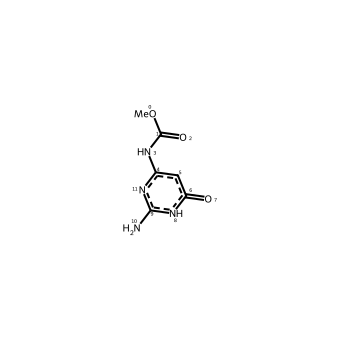 COC(=O)Nc1cc(=O)[nH]c(N)n1